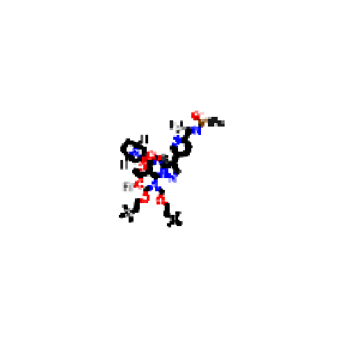 C=C(OCC)c1c([C@@H]2C[C@H]3CC[C@@H](C2)N3C(=O)OC(C)(C)C)nc2c(-c3ccc(/C(=N/[S+]([O-])C(C)(C)C)C(F)(F)F)nc3)cnn2c1N(COCC[Si](C)(C)C)COCC[Si](C)(C)C